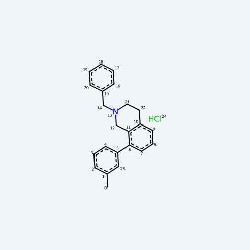 Cc1cccc(-c2cccc3c2CN(Cc2ccccc2)CC3)c1.Cl